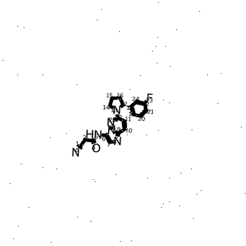 N#CCC(=O)Nc1cnc2ccc(N3CCC[C@@H]3c3cccc(F)c3)nn12